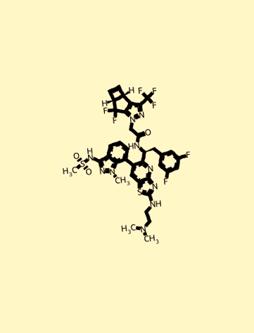 CN(C)CCNc1nc2nc([C@H](Cc3cc(F)cc(F)c3)NC(=O)Cn3nc(C(F)(F)F)c4c3C(F)(F)[C@@H]3C=C[C@H]43)c(-c3cccc4c(NS(C)(=O)=O)nn(C)c34)cc2s1